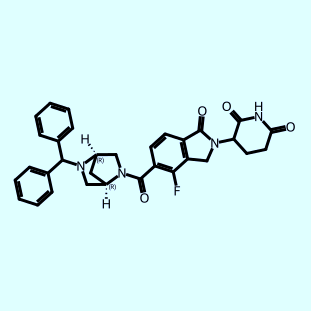 O=C1CCC(N2Cc3c(ccc(C(=O)N4C[C@H]5C[C@@H]4CN5C(c4ccccc4)c4ccccc4)c3F)C2=O)C(=O)N1